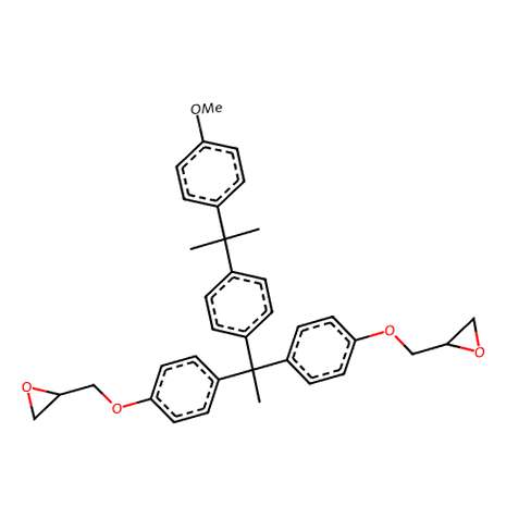 COc1ccc(C(C)(C)c2ccc(C(C)(c3ccc(OCC4CO4)cc3)c3ccc(OCC4CO4)cc3)cc2)cc1